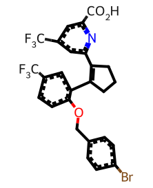 O=C(O)c1cc(C(F)(F)F)cc(C2=C(c3cc(C(F)(F)F)ccc3OCc3ccc(Br)cc3)CCC2)n1